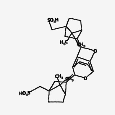 CC1(C)C2CCC1(CS(=O)(=O)O)C/C2=c1/oc2ccc1c1/c(=C3\CC4(CS(=O)(=O)O)CCC3C4(C)C)oc21